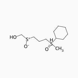 C[SH](=O)(CCC[S+]([O-])CO)C1CCCCC1